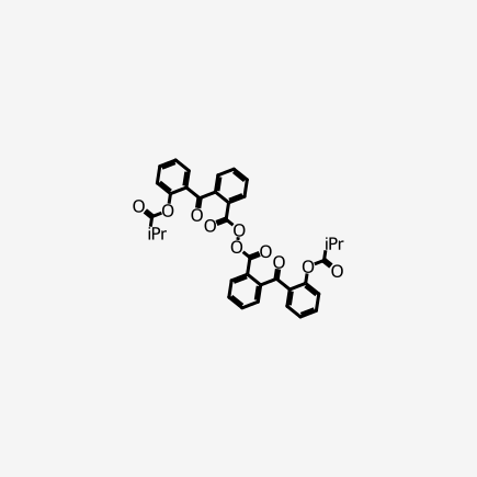 CC(C)C(=O)Oc1ccccc1C(=O)c1ccccc1C(=O)OOC(=O)c1ccccc1C(=O)c1ccccc1OC(=O)C(C)C